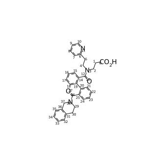 O=C(O)CCN(CCc1ccccn1)C(=O)c1ccccc1-c1ccccc1C(=O)N1CCc2ccccc2C1